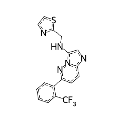 FC(F)(F)c1ccccc1-c1ccc2ncc(NCc3nccs3)n2n1